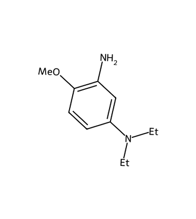 CCN(CC)c1ccc(OC)c(N)c1